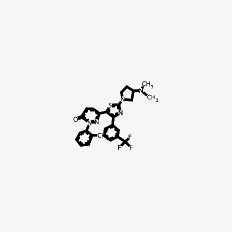 Cc1ccccc1-n1nc(-c2sc(N3CCC(N(C)C)C3)nc2-c2cccc(C(F)(F)F)c2)ccc1=O